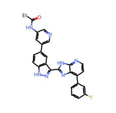 CCC(=O)Nc1cncc(-c2ccc3[nH]nc(-c4nc5c(-c6cccc(F)c6)ccnc5[nH]4)c3c2)c1